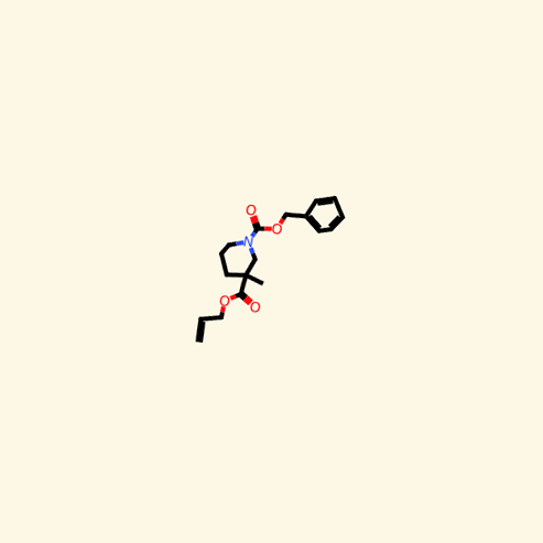 C=CCOC(=O)C1(C)CCCN(C(=O)OCc2ccccc2)C1